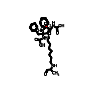 CC(C=O)NCCCCCCCC[C@@H](Cc1ccccc1)C(Cc1ccccc1)(NC(=O)O)N[C@@H](C)C(=O)NC(=O)O